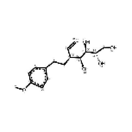 COc1ccc(CC[C@@H](C=O)[C@H](O)[C@@H](O)[C@@H](O)CO)cc1